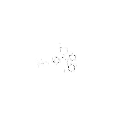 CC1(COc2ncc(C(=O)Nc3c(-c4cc(F)ccc4F)ccnc3C3CCC(F)(F)CC3)cn2)COC1